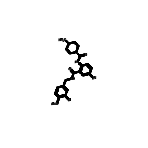 COc1ccc(CNC(=O)c2cc(C#N)ccc2NC(=O)[C@H]2CC[C@H](C(=O)O)CC2)cc1Cl